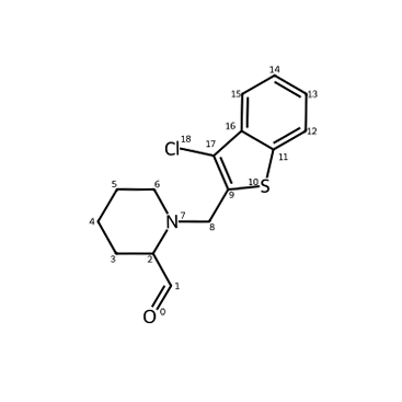 O=CC1CCCCN1Cc1sc2ccccc2c1Cl